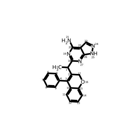 CC(C1=C(c2ccccc2)c2ccccc2OC1)c1nc(N)c2cn[nH]c2n1